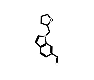 O=Cc1ccc2ccn(CC3CCCO3)c2c1